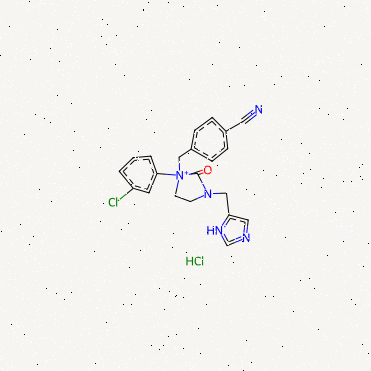 Cl.N#Cc1ccc(C[N+]2(c3cccc(Cl)c3)CCN(Cc3cnc[nH]3)C2=O)cc1